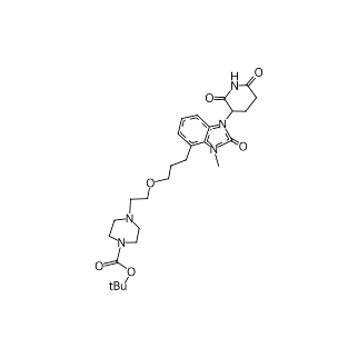 Cn1c(=O)n(C2CCC(=O)NC2=O)c2cccc(CCCOCCN3CCN(C(=O)OC(C)(C)C)CC3)c21